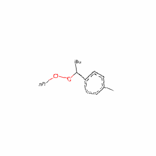 CCCOOC(c1ccc(C)cc1)C(C)CC